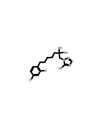 CC(C)(C)C(O)(CCCCCc1ccc(Cl)cc1Cl)Cn1ncnc1S